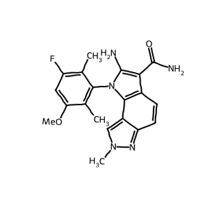 COc1cc(F)c(C)c(-n2c(N)c(C(N)=O)c3ccc4nn(C)cc4c32)c1C